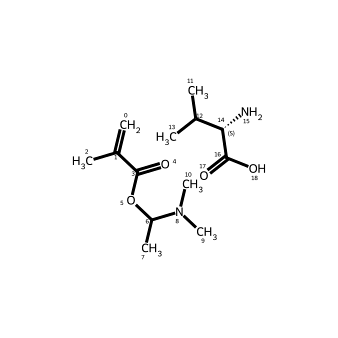 C=C(C)C(=O)OC(C)N(C)C.CC(C)[C@H](N)C(=O)O